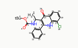 CC(NC(=O)OC(C)(C)C)c1c(-c2ccccc2)[nH]c2c(Cl)cccc2c1=O